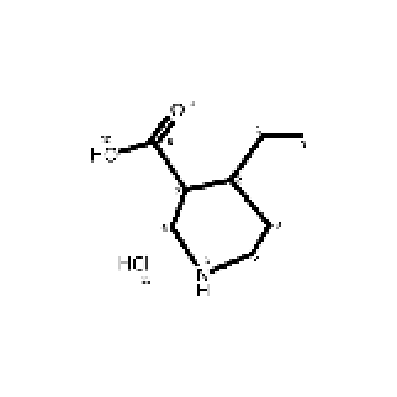 CCC1CCNCC1C(=O)O.Cl